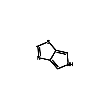 [c]1nc2c[nH]cc2s1